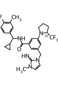 Cc1cc(C(NC(=O)c2cc(Cn3ccn(C)c3=N)cc(N3CCC[C@H]3C(F)(F)F)c2)C2CC2)ccc1F